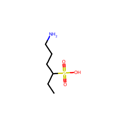 CCC(CCCN)S(=O)(=O)O